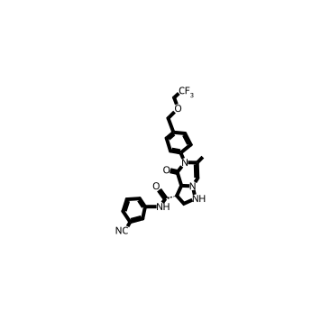 CC1=CN2NC[C@H](C(=O)Nc3cccc(C#N)c3)C2C(=O)N1c1ccc(COCC(F)(F)F)cc1